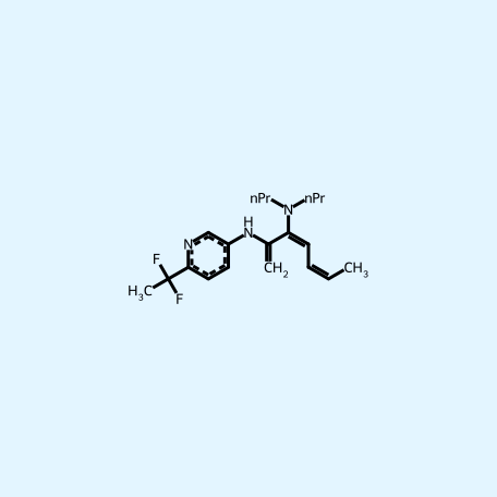 C=C(Nc1ccc(C(C)(F)F)nc1)/C(=C\C=C/C)N(CCC)CCC